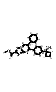 COC(=O)c1nc2nc(-c3ccc(C4(N)CCC4)cc3)c(-c3ccccc3)cn2n1